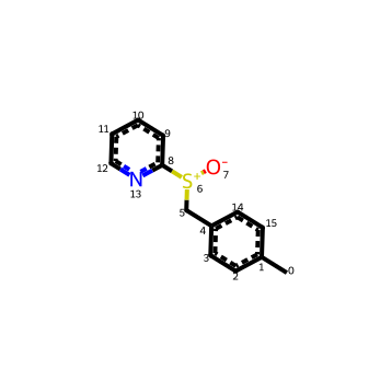 Cc1ccc(C[S+]([O-])c2ccccn2)cc1